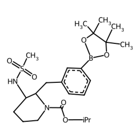 CC(C)OC(=O)N1CCCC(NS(C)(=O)=O)C1Cc1cccc(B2OC(C)(C)C(C)(C)O2)c1